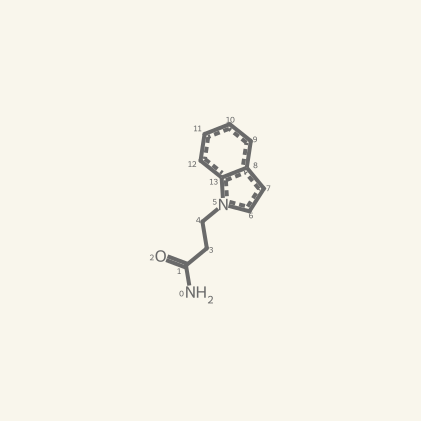 NC(=O)CCn1ccc2ccccc21